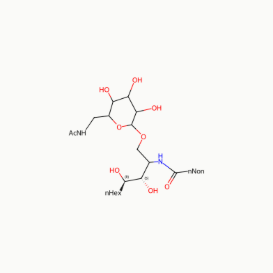 CCCCCCCCCC(=O)NC(COC1OC(CNC(C)=O)C(O)C(O)C1O)[C@H](O)[C@H](O)CCCCCC